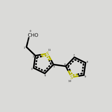 O=CCc1ccc(-c2cccs2)s1